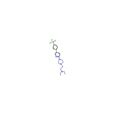 CCN(CC)CCN1CCN(c2ccc(-c3ccc(C(F)(F)F)cc3)cn2)CC1